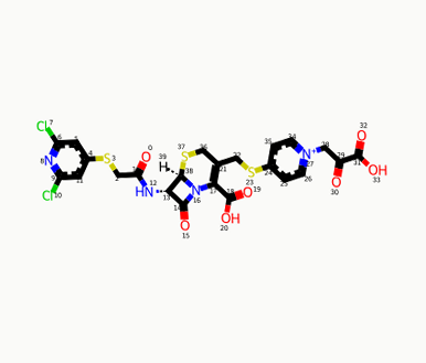 O=C(CSc1cc(Cl)nc(Cl)c1)N[C@H]1C(=O)N2C(C(=O)O)=C(CSc3cc[n+](CC(=O)C(=O)O)cc3)CS[C@H]12